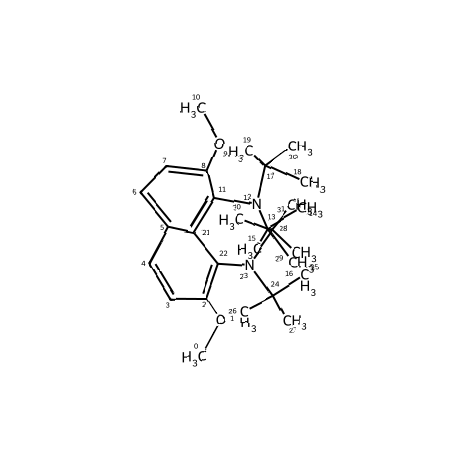 COc1ccc2ccc(OC)c(N(C(C)(C)C)C(C)(C)C)c2c1N(C(C)(C)C)C(C)(C)C